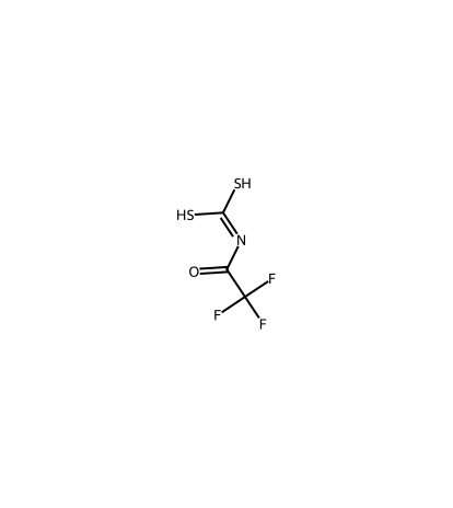 O=C(N=C(S)S)C(F)(F)F